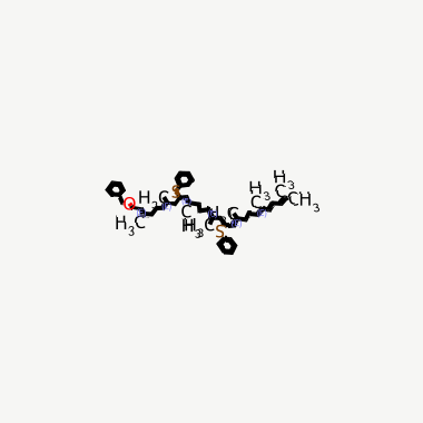 CC(C)=CCC/C(C)=C/CC/C(C)=C/C(C/C(C)=C/CC/C(C)=C/C(C/C(C)=C/CC/C(C)=C/COCc1ccccc1)Sc1ccccc1)Sc1ccccc1